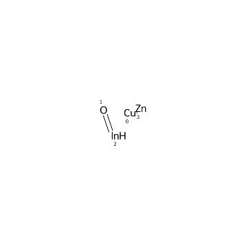 [Cu].[O]=[InH].[Zn]